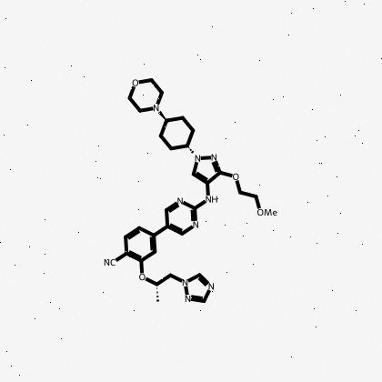 COCCOc1nn([C@H]2CC[C@H](N3CCOCC3)CC2)cc1Nc1ncc(-c2ccc(C#N)c(O[C@@H](C)Cn3cncn3)c2)cn1